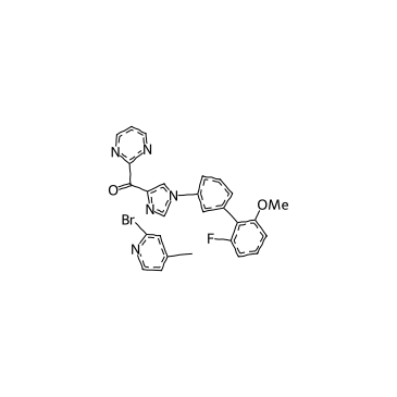 COc1cccc(F)c1-c1cccc(-n2cnc(C(=O)c3ncccn3)c2)c1.Cc1ccnc(Br)c1